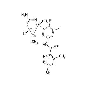 Cc1cc(C#N)cnc1C(=O)Nc1cc(F)c(F)c([C@@]2(C)N=C(N)S[C@@H]3C2[C@@H]3C)c1